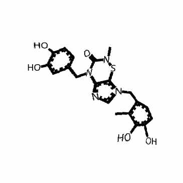 Cc1c(Cn2cnc3c2SN(C)C(=O)N3Cc2ccc(O)c(O)c2)ccc(O)c1O